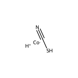 N#CS.[Co].[H+]